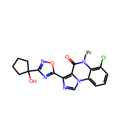 CC(C)n1c(=O)c2c(-c3nc(C4(O)CCCC4)no3)ncn2c2cccc(Cl)c21